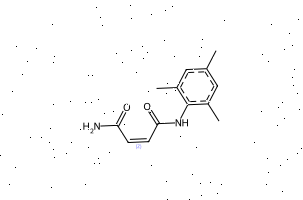 Cc1cc(C)c(NC(=O)/C=C\C(N)=O)c(C)c1